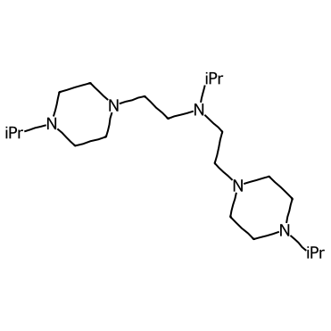 CC(C)N1CCN(CCN(CCN2CCN(C(C)C)CC2)C(C)C)CC1